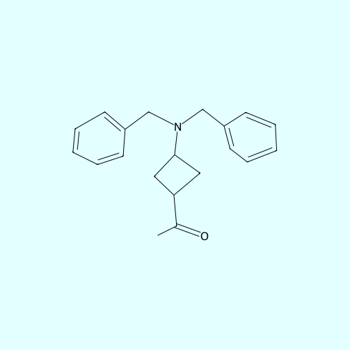 CC(=O)C1CC(N(Cc2ccccc2)Cc2ccccc2)C1